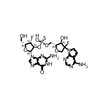 Nc1nc2c(ncn2[C@@H]2O[C@H](CO)[C@H](F)[C@H]2OP(O)(=S)OC[C@H]2OCC(F)(n3ccc4c(N)ncnc43)[C@@H]2O)c(=O)[nH]1